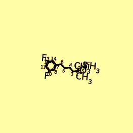 CC(C)(CCCCc1cc(F)cc(F)c1)O[SiH3]